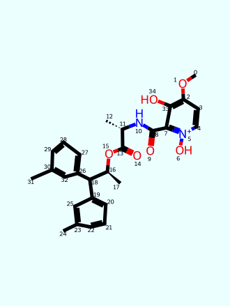 COc1cc[n+](O)c(C(=O)N[C@@H](C)C(=O)O[C@@H](C)C(c2cccc(C)c2)c2cccc(C)c2)c1O